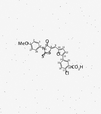 COc1ccc(N2C(=O)/C(=C/c3ccc(-c4ccc(Cl)c(C(=O)O)c4)o3)SC2=S)cc1